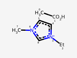 CC(=O)O.CC[n+]1ccn(C)c1